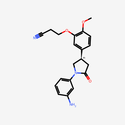 COc1ccc([C@H]2CC(=O)N(c3cccc(N)c3)C2)cc1OCCC#N